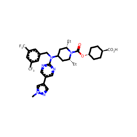 CC[C@@H]1CC(N(Cc2cc(C(F)(F)F)cc(C(F)(F)F)c2)c2ncc(-c3cnn(C)c3)cn2)C[C@H](CC)N1C(=O)O[C@H]1CC[C@H](C(=O)O)CC1